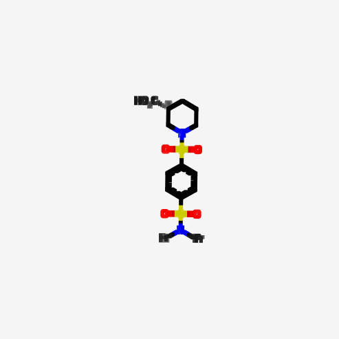 CCN(C(C)C)S(=O)(=O)c1ccc(S(=O)(=O)N2CCC[C@@H](C(=O)O)C2)cc1